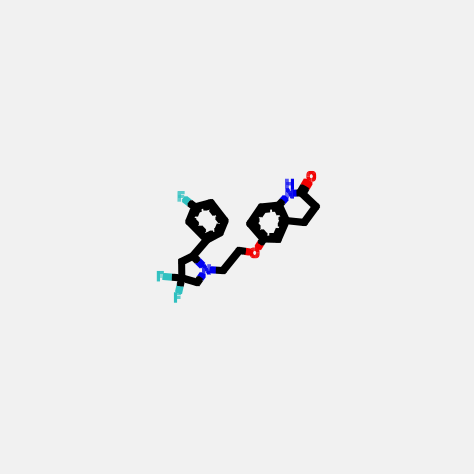 O=C1CCc2cc(OCCN3CC(F)(F)CC3c3cccc(F)c3)ccc2N1